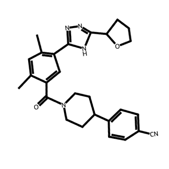 Cc1cc(C)c(-c2nnc(C3CCCO3)[nH]2)cc1C(=O)N1CCC(c2ccc(C#N)cc2)CC1